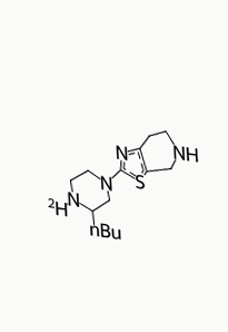 [2H]N1CCN(c2nc3c(s2)CNCC3)CC1CCCC